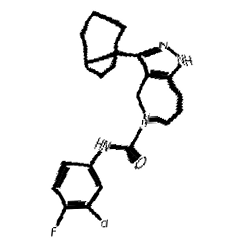 O=C(Nc1ccc(F)c(Cl)c1)N1CCc2[nH]nc(C34CCCC3C4)c2C1